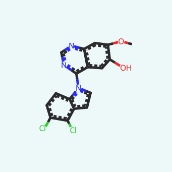 COc1cc2ncnc(-n3ccc4c(Cl)c(Cl)ccc43)c2cc1O